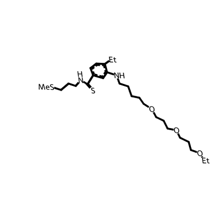 CCOCCCOCCCOCCCCCNc1cc(C(=S)NCCCSC)ccc1CC